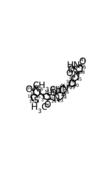 COc1cc(-c2cn(C)c(=O)c3ccsc23)cc(OC)c1CN1CCC2CN(c3ccc4c(c3)C(=O)N(C3CCC(=O)NC3=O)C4)CCC2C1